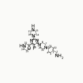 NCc1ccc(N2CCN(c3nc(N4CCNCC4)nc(C4CNCCO4)c3F)CC2)cc1